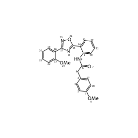 COc1ccc(CC(=O)Nc2ccccc2-c2nc(-c3ccccc3OC)no2)cc1